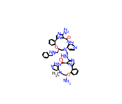 CN1C[C@@H](CN)Oc2ccccc2-c2cnc(NCN3C[C@@H](CNCc4ccccc4)Oc4ccccc4-c4cnc(N)c(n4)C(=O)Nc4cnccc43)c(n2)C(=O)Nc2cnccc21